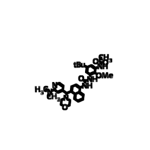 COc1c(NC(=O)Nc2ccc(C(c3ccnc(N(C)C)c3)N3CCOCC3)c3ccccc23)cc(C(C)(C)C)cc1NS(C)(=O)=O